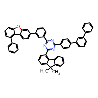 CC1(C)c2ccccc2-c2c(-c3nc(-c4ccc(-c5cccc(-c6ccccc6)c5)cc4)nc(-c4cccc(-c5ccc6c(c5)oc5cccc(-c7ccccc7)c56)c4)n3)cccc21